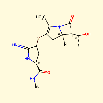 CCNC(=O)[C@@H]1CC(SC2=C(C(=O)O)N3C(=O)[C@H]([C@@H](C)O)[C@H]3C2)C(=N)N1